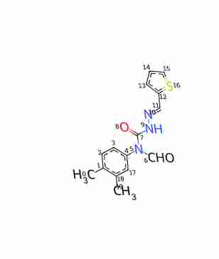 Cc1ccc(N(C=O)C(=O)N/N=C/c2cccs2)cc1C